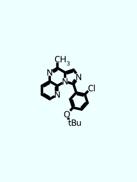 Cc1nc2cccnc2n2c(-c3cc(OC(C)(C)C)ccc3Cl)ncc12